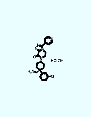 Cl.Cl.NC[C@]1(c2cccc(Cl)c2)CC[C@H](N2CCn3c(nnc3-c3ccncc3)C2=O)CC1